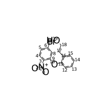 O=[N+]([O-])c1ccc(Br)cc1Oc1ccccc1CCO